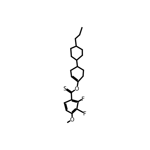 CCCC1CCC(C2CC=C(OC(=S)c3ccc(OC)c(F)c3F)CC2)CC1